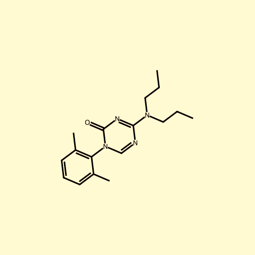 CCCN(CCC)c1ncn(-c2c(C)cccc2C)c(=O)n1